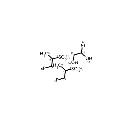 CC(CF)S(=O)(=O)O.CC(CF)S(=O)(=O)O.CCC(O)CO